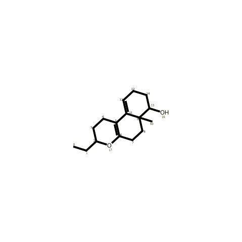 CCC1CCC2=C(CCC3(C)C2=CCCC3O)O1